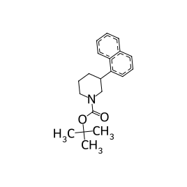 CC(C)(C)OC(=O)N1CCCC(c2cccc3ccccc23)C1